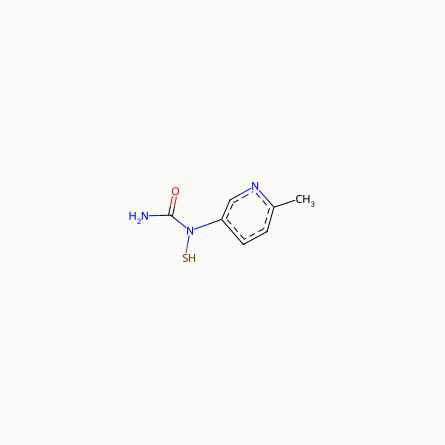 Cc1ccc(N(S)C(N)=O)cn1